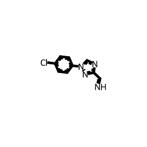 N=Cc1ncn(-c2ccc(Cl)cc2)n1